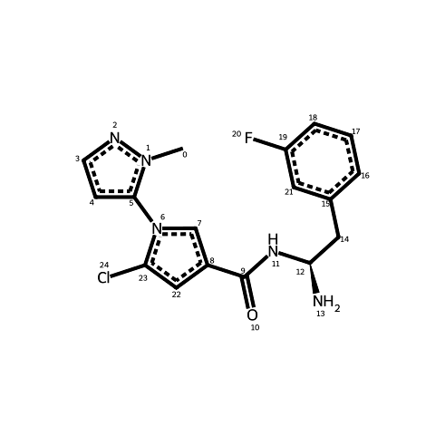 Cn1nccc1-n1cc(C(=O)N[C@H](N)Cc2cccc(F)c2)cc1Cl